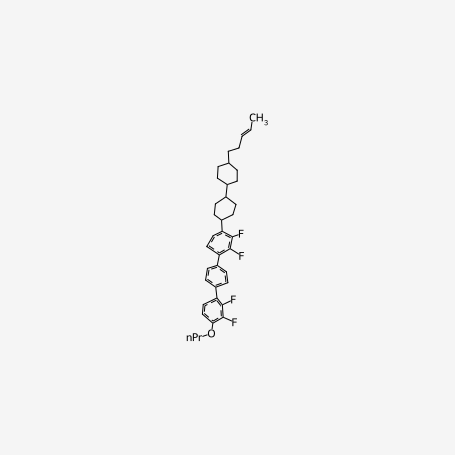 C/C=C/CCC1CCC(C2CCC(c3ccc(-c4ccc(-c5ccc(OCCC)c(F)c5F)cc4)c(F)c3F)CC2)CC1